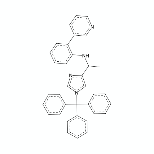 CC(Nc1ccccc1-c1cccnc1)c1cn(C(c2ccccc2)(c2ccccc2)c2ccccc2)cn1